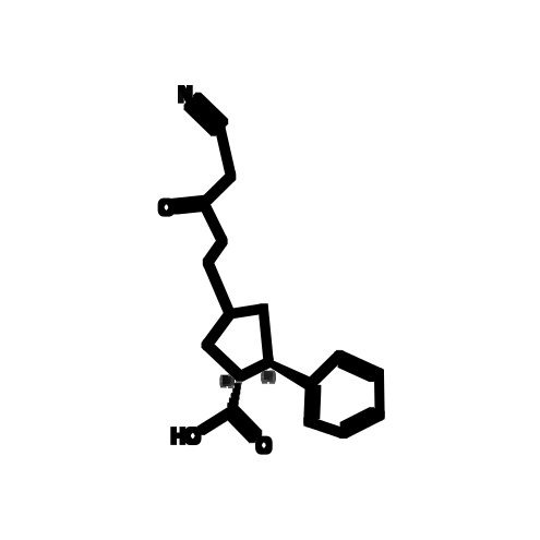 N#CCC(=O)CCC1C[C@@H](C(=O)O)[C@H](c2ccccc2)C1